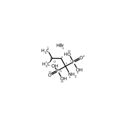 Br.CC(C)CC(N)(P(=O)(O)O)P(=O)(O)O